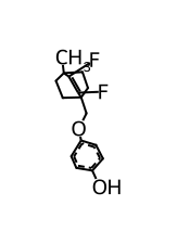 CC12CCC(COc3ccc(O)cc3)(CC1)C(F)=C2F